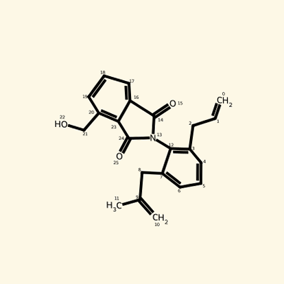 C=CCc1cccc(CC(=C)C)c1N1C(=O)c2cccc(CO)c2C1=O